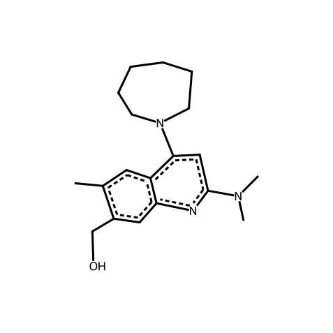 Cc1cc2c(N3CCCCCC3)cc(N(C)C)nc2cc1CO